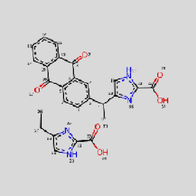 CC(c1ccc2c(c1)C(=O)c1ccccc1C2=O)c1c[nH]c(C(=O)O)n1.CCc1c[nH]c(C(=O)O)n1